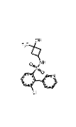 O=S(=O)(NC1CC(O)(C(F)(F)F)C1)c1cccc(Cl)c1-c1cccnc1